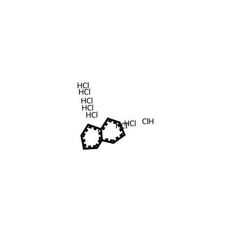 Cl.Cl.Cl.Cl.Cl.Cl.Cl.Cl.c1ccc2ccccc2c1